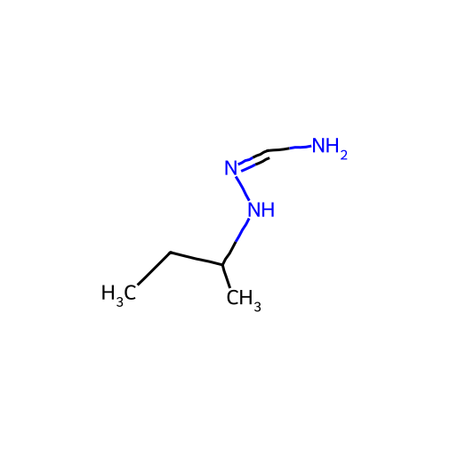 CCC(C)N/N=C\N